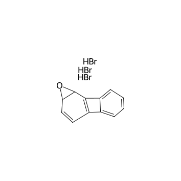 Br.Br.Br.C1=CC2OC2C2=C1c1ccccc12